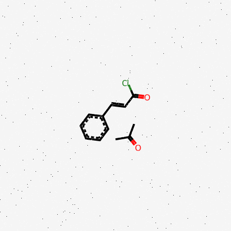 CC(C)=O.O=C(Cl)C=Cc1ccccc1